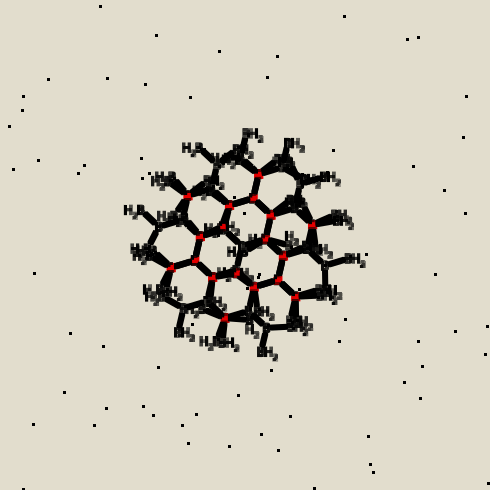 BB(B)B(B)B(B(B(B)B)B(B)B)B(B(B(B)B)B(B)B)B(B(B(B(B)B)B(B)B)B(B(B)B)B(B)B)B(B(B(B(B(B)B)B(B)B)B(B(B)B)B(B)B)B(B(B(B)B)B(B)B)B(B(B)B)B(B)B)B(B(B(B(B)B)B(B)B)B(B(B)B)B(B)B)B(B(B(B)B)B(B)B)B(B(B)B)B(B)B